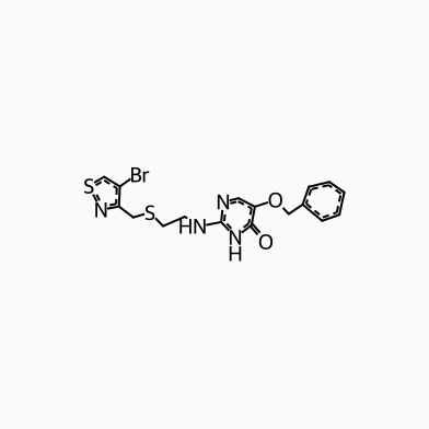 O=c1[nH]c(NCCSCc2nscc2Br)ncc1OCc1ccccc1